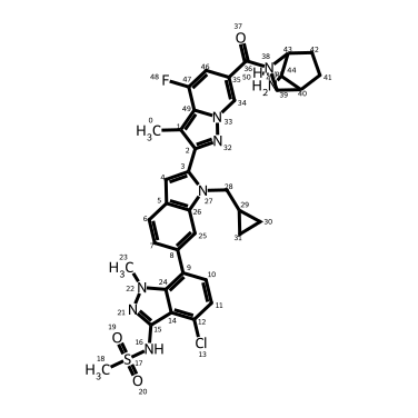 Cc1c(-c2cc3ccc(-c4ccc(Cl)c5c(NS(C)(=O)=O)nn(C)c45)cc3n2CC2CC2)nn2cc(C(=O)N3CC4CCC3[C@@H]4N)cc(F)c12